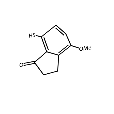 COc1ccc(S)c2c1CCC2=O